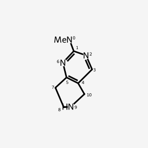 CNc1ncc2c(n1)CCNC2